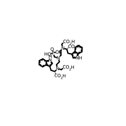 O=C(O)CN(CCN(CCN(CC(=O)O)[C@@H](Cc1c[nH]c2ccccc12)C(=O)O)CP(=O)(O)O)[C@@H](Cc1c[nH]c2ccccc12)C(=O)O